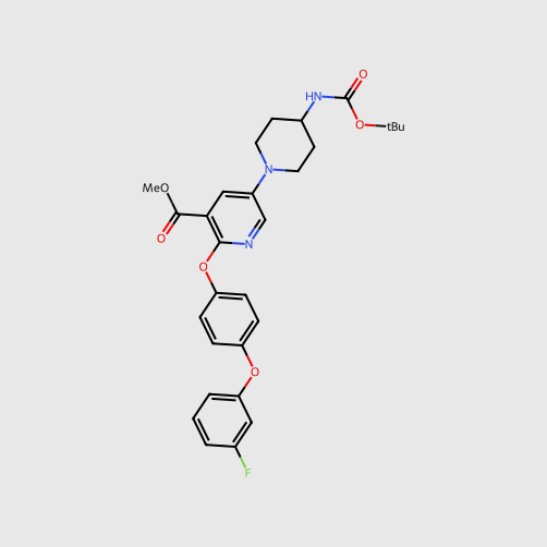 COC(=O)c1cc(N2CCC(NC(=O)OC(C)(C)C)CC2)cnc1Oc1ccc(Oc2cccc(F)c2)cc1